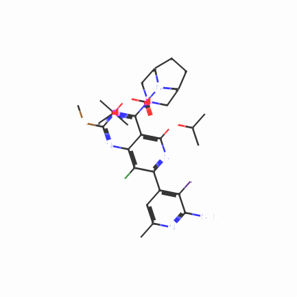 CSc1nc(N2CC3CCC(C2)N3C(=O)OC(C)(C)C)c2c(OC(C)C)nc(-c3cc(C)nc(N)c3I)c(F)c2n1